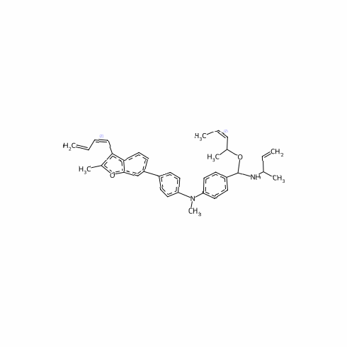 C=C/C=C\c1c(C)oc2cc(-c3ccc(N(C)c4ccc(C(NC(C)C=C)OC(C)/C=C\C)cc4)cc3)ccc12